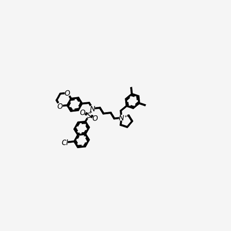 Cc1cc(C)cc(C[N+]2(CCCCN(Cc3ccc4c(c3)OCCO4)S(=O)(=O)c3ccc4c(Cl)cccc4c3)CCCC2)c1